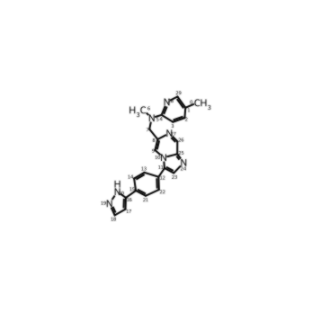 Cc1ccc(N(C)Cc2cn3c(-c4ccc(-c5ccn[nH]5)cc4)cnc3cn2)nc1